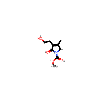 CC1=C(CCO)C(=O)N(C(=O)OC(C)(C)C)C1